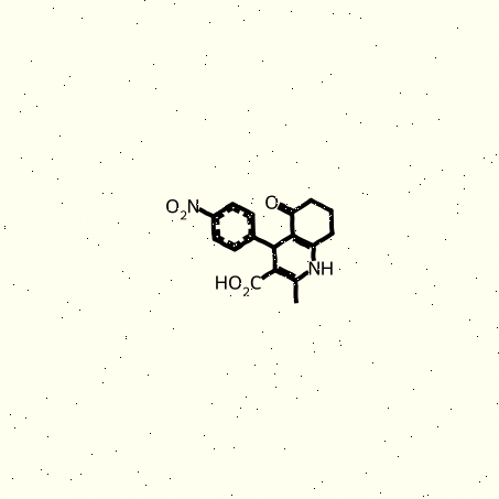 CC1=C(C(=O)O)C(c2ccc([N+](=O)[O-])cc2)C2=C(CCCC2=O)N1